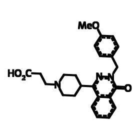 COc1ccc(Cn2nc(C3CCN(CCC(=O)O)CC3)c3ccccc3c2=O)cc1